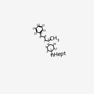 CCCCCCC[C@H]1CC[C@H](C(C)CCCc2ccccc2)CC1